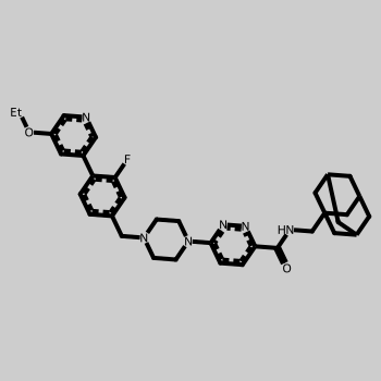 CCOc1cncc(-c2ccc(CN3CCN(c4ccc(C(=O)NCC56CC7CC(CC(C7)C5)C6)nn4)CC3)cc2F)c1